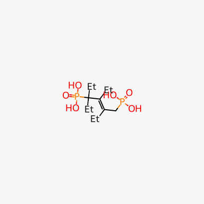 CCC(CP(=O)(O)O)=C(CC)C(CC)(CC)P(=O)(O)O